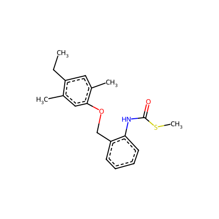 CCc1cc(C)c(OCc2ccccc2NC(=O)SC)cc1C